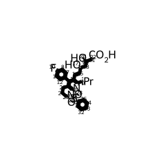 CC(C)c1nc2c(c(-c3ccc(F)cc3)c1C=CC(O)C[C@@H](O)CC(=O)O)CCCN2S(=O)(=O)c1ccccc1